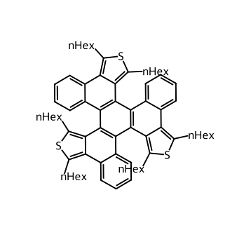 CCCCCCc1sc(CCCCCC)c2c1c1ccccc1c1c2c2c3ccccc3c3c(CCCCCC)sc(CCCCCC)c3c2c2c3ccccc3c3c(CCCCCC)sc(CCCCCC)c3c12